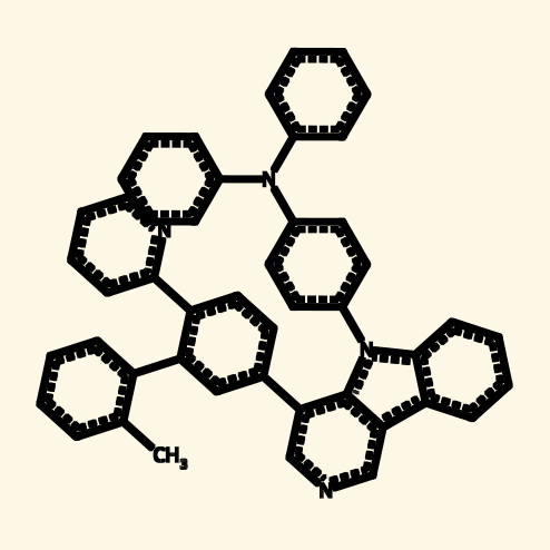 Cc1ccccc1-c1cc(-c2cncc3c4ccccc4n(-c4ccc(N(c5ccccc5)c5ccccc5)cc4)c23)ccc1-c1ccccn1